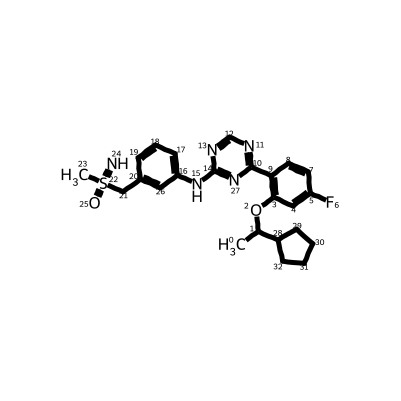 CC(Oc1cc(F)ccc1-c1ncnc(Nc2cccc(CS(C)(=N)=O)c2)n1)C1CCCC1